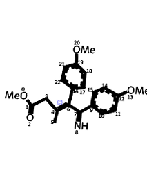 COC(=O)C/C(C)=C(/C(=N)c1ccc(OC)cc1)c1ccc(OC)cc1